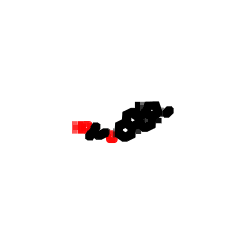 CC[C@H]1CC[C@H]2C3=CC=C4C[C@@H](OCCC(C)(C)O)CC[C@]4(C)[C@H]3CC[C@]12C